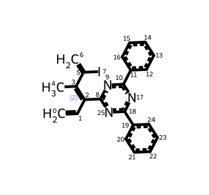 C=C/C(=C(\C)C(=C)I)c1nc(-c2ccccc2)nc(-c2ccccc2)n1